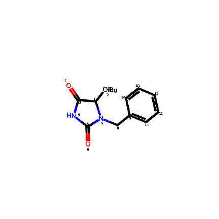 CC(C)COC1C(=O)NC(=O)N1Cc1ccccc1